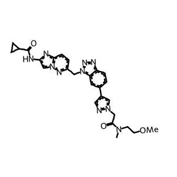 COCCN(C)C(=O)Cn1cc(-c2ccc3nnn(Cc4ccc5nc(NC(=O)C6CC6)cn5n4)c3c2)cn1